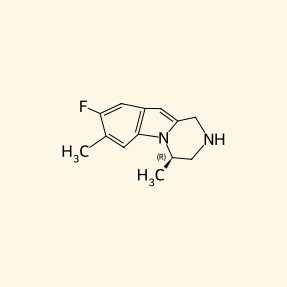 Cc1cc2c(cc1F)cc1n2[C@H](C)CNC1